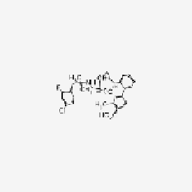 Cc1cc(-c2ccccc2[C@H](OC[C@H](O)CNC(C)(C)Cc2ccc(Cl)cc2F)C2CC2)ccc1C(=O)O